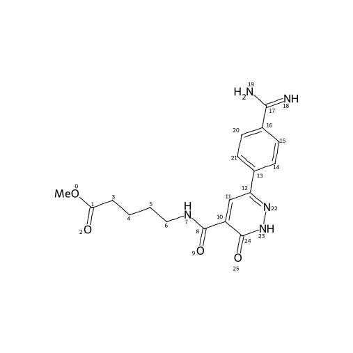 COC(=O)CCCCNC(=O)c1cc(-c2ccc(C(=N)N)cc2)n[nH]c1=O